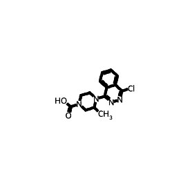 CC1CN(C(=O)O)CCN1c1nnc(Cl)c2ccccc12